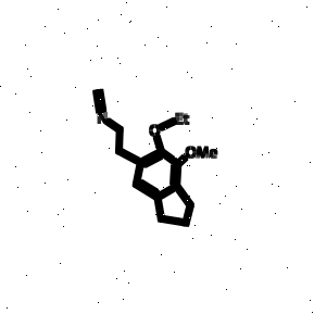 C=NCCc1cc2c(c(OC)c1OCC)CCC2